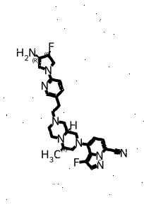 C[C@@H]1CN(c2ccc(C#N)n3ncc(F)c23)C[C@@H]2CN(CCc3ccc(N4C[C@@H](N)[C@@H](F)C4)nc3)CCN21